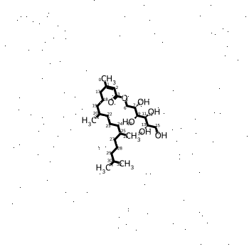 CC(=CC(=O)OC[C@H](O)[C@H](O)[C@@H](O)[C@@H](O)CO)CCCC(C)CCCC(C)CCCC(C)C